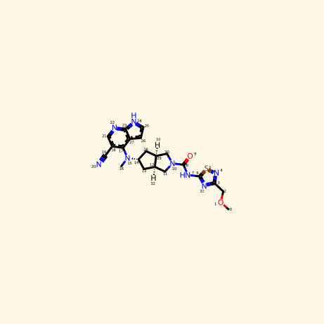 COCc1nsc(NC(=O)N2C[C@H]3C[C@H](N(C)c4c(C#N)cnc5[nH]ccc45)C[C@H]3C2)n1